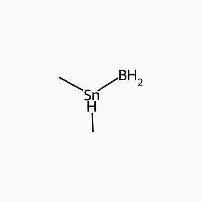 [BH2][SnH]([CH3])[CH3]